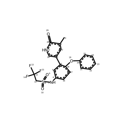 Cc1cc(-c2cc(NS(=O)(=O)CC(F)(F)F)ccc2Oc2ccccc2)c[nH]c1=O